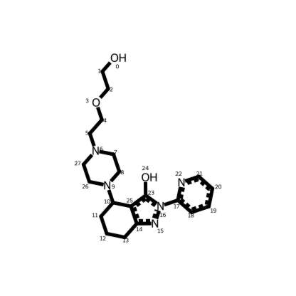 OCCOCCN1CCN(C2CCCc3nn(-c4ccccn4)c(O)c32)CC1